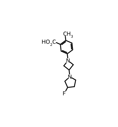 Cc1ccc(N2CC(N3CCC(F)C3)C2)cc1C(=O)O